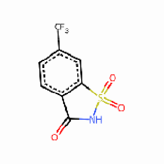 O=C1NS(=O)(=O)c2cc(C(F)(F)F)ccc21